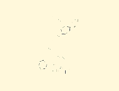 COC(=O)N[C@H]1CCC[C@@H]1[C@](CNC(C)=O)(c1cccc(F)c1)C1CCN(CC2CN(c3ccc(S(N)(=O)=O)c(CN4CC(F)C4)c3)C2)CC1